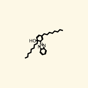 CCCCCCCCC1=CC(n2nc3ccccc3n2)C(O)(CCCCCCCC)C=C1